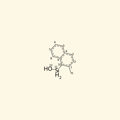 Cc1ccc2ccccc2c1[SiH2]O